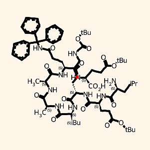 CC[C@H](C)[C@H](NC(=O)[C@H](CCCCNC(=O)OC(C)(C)C)NC(=O)[C@H](CCC(=O)OC(C)(C)C)NC(=O)[C@@H](N)CC(C)C)C(=O)N[C@@H](C)C(=O)N[C@@H](C)C(=O)N[C@@H](CCC(=O)NC(c1ccccc1)(c1ccccc1)c1ccccc1)C(=O)N[C@@H](CCC(=O)OC(C)(C)C)C(=O)O